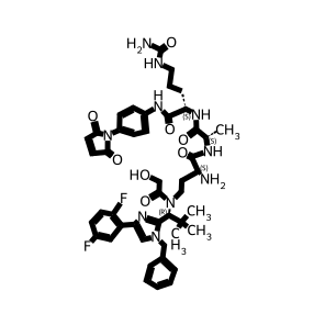 C[C@H](NC(=O)[C@@H](N)CCN(C(=O)CO)[C@@H](c1nc(-c2cc(F)ccc2F)cn1Cc1ccccc1)C(C)(C)C)C(=O)N[C@@H](CCCNC(N)=O)C(=O)Nc1ccc(N2C(=O)C=CC2=O)cc1